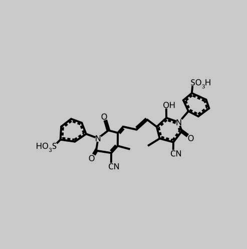 CC1=C(C#N)C(=O)N(c2cccc(S(=O)(=O)O)c2)C(=O)/C1=C/C=C/c1c(C)c(C#N)c(=O)n(-c2cccc(S(=O)(=O)O)c2)c1O